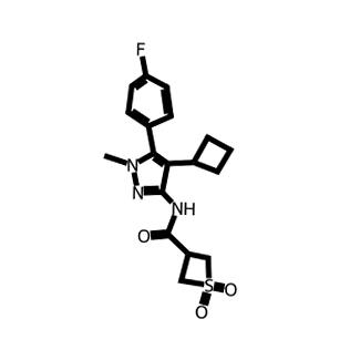 Cn1nc(NC(=O)C2CS(=O)(=O)C2)c(C2CCC2)c1-c1ccc(F)cc1